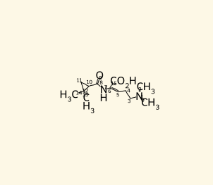 CN(C)CC/C=C(/NC(=O)C1CC1(C)C)C(=O)O